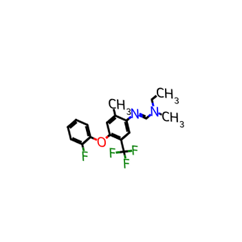 CCN(C)/C=N/c1cc(C(F)(F)F)c(Oc2ccccc2F)cc1C